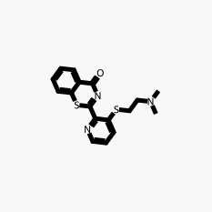 CN(C)CCSc1cccnc1-c1nc(=O)c2ccccc2s1